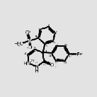 CS(=O)(=O)c1ccccc1C1(c2ccc(F)cc2)C=CNNC1=O